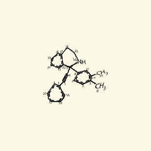 Cc1ccc(C2(C#Cc3ccccc3)NCCc3ccccc32)cc1C